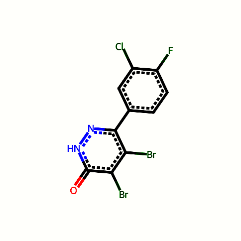 O=c1[nH]nc(-c2ccc(F)c(Cl)c2)c(Br)c1Br